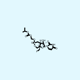 CC(C)OC(=O)OCOP1(=O)C[C@@H]2[C@@](CF)(CO1)O[C@@H](n1ccc(=O)[nH]c1=O)[C@]2(C)O